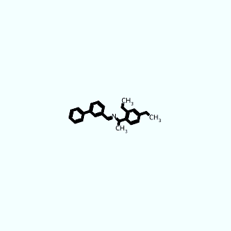 CCc1ccc(C(C)N=Cc2cccc(-c3ccccc3)c2)c(CC)c1